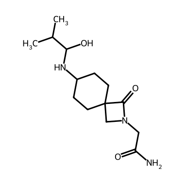 CC(C)C(O)NC1CCC2(CC1)CN(CC(N)=O)C2=O